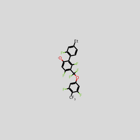 CCc1ccc(-c2c([O])cc(F)c(C(F)(F)Oc3cc(F)c(C(F)(F)F)c(F)c3)c2F)c(F)c1